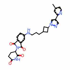 Cc1ccnc(-c2cnn(C3CC(CCCNc4ccc5c(c4)C(=O)N(C4CCC(=O)NC4=O)C5=O)C3)c2)c1